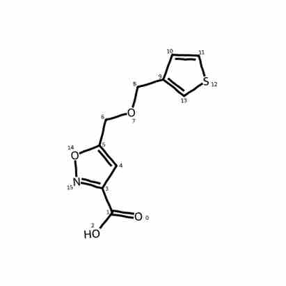 O=C(O)c1cc(COCc2ccsc2)on1